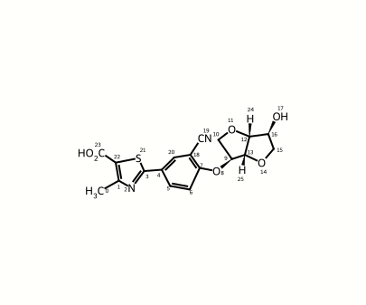 Cc1nc(-c2ccc(O[C@H]3CO[C@H]4[C@@H]3OC[C@@H]4O)c(C#N)c2)sc1C(=O)O